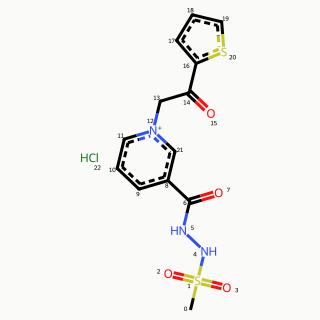 CS(=O)(=O)NNC(=O)c1ccc[n+](CC(=O)c2cccs2)c1.Cl